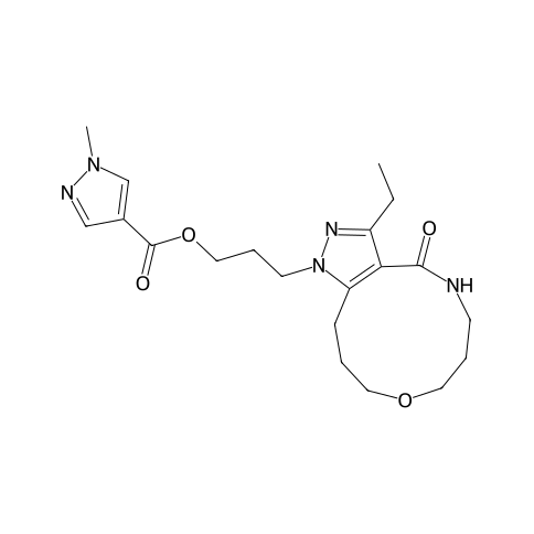 CCc1nn(CCCOC(=O)c2cnn(C)c2)c2c1C(=O)NCCCOCCC2